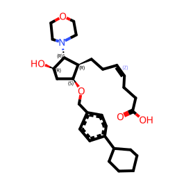 O=C(O)CC/C=C\CC[C@@H]1[C@@H](N2CCOCC2)[C@H](O)C[C@@H]1OCc1ccc(C2CCCCC2)cc1